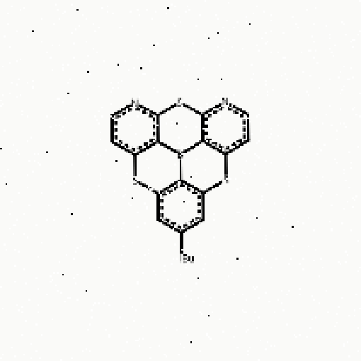 CCC(C)c1cc2c3c(c1)Sc1ccnc4c1B3c1c(ccnc1S4)S2